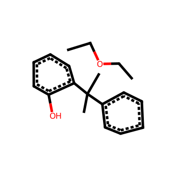 CC(C)(c1ccccc1)c1ccccc1O.CCOCC